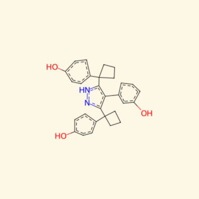 Oc1ccc(C2(c3n[nH]c(C4(c5ccc(O)cc5)CCC4)c3-c3cccc(O)c3)CCC2)cc1